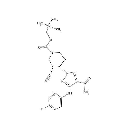 CC(C)(C)COC(=O)N1CCC(n2cc(C(N)=O)c(Nc3ccc(F)cc3)n2)C(C#N)C1